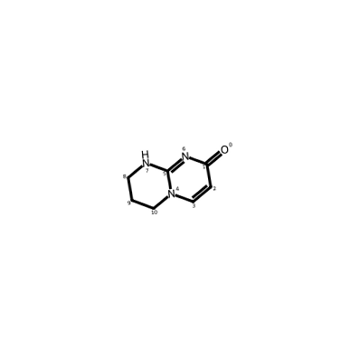 O=c1ccn2c(n1)NCCC2